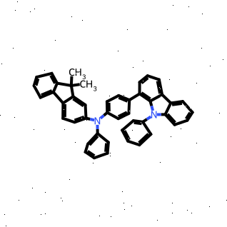 CC1(C)c2ccccc2-c2ccc(N(c3ccccc3)c3ccc(-c4cccc5c6ccccc6n(-c6ccccc6)c45)cc3)cc21